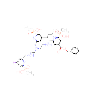 CP(=O)(O)c1cc(I)cc(CNCCN(CCNCc2cc(C(=O)OCc3ccccc3)cc(P(C)(=O)O)n2)Cc2cc(CCCC(=O)O)cc(P(C)(=O)O)n2)n1